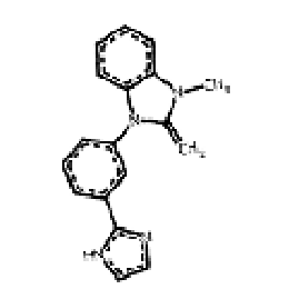 C=C1N(C)c2ccccc2N1c1cccc(-c2ncc[nH]2)c1